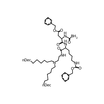 BC(=O)NC(CC(=O)OCc1ccccc1)C(=O)NC(CCCCNC(=O)OCc1ccccc1)C(=O)NCCN(CCCCCCCCCCCCCCCC)CCCCCCCCCCCCCCCC